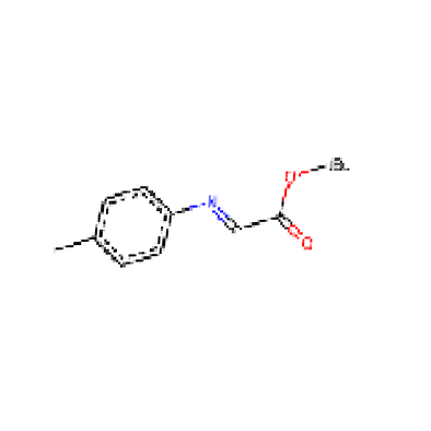 Cc1ccc(N=CC(=O)OC(C)(C)C)cc1